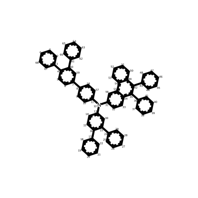 c1ccc(-c2ccc(-c3ccc(N(c4ccc(-c5ccccc5)c(-c5ccccc5)c4)c4ccc5c(-c6ccccc6)c(-c6ccccc6)c6ccccc6c5c4)cc3)cc2-c2ccccc2)cc1